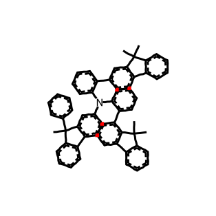 CC1(C)c2ccccc2-c2ccc(-c3ccccc3N(c3ccc4c(c3)C(C)(c3ccccc3)c3ccccc3-4)c3ccccc3-c3cccc4c3C(C)(C)c3ccccc3-4)cc21